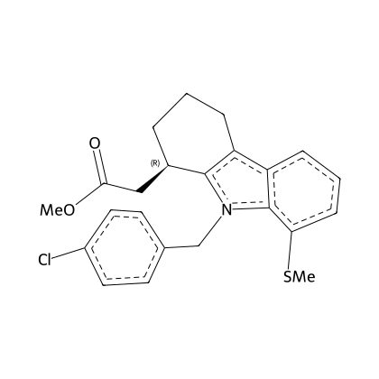 COC(=O)C[C@H]1CCCc2c1n(Cc1ccc(Cl)cc1)c1c(SC)cccc21